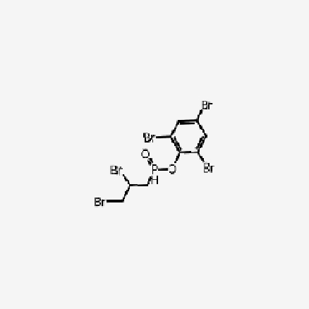 O=[PH](CC(Br)CBr)Oc1c(Br)cc(Br)cc1Br